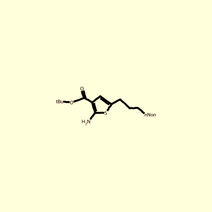 CCCCCCCCCCCCc1cc(C(=O)OC(C)(C)C)c(N)s1